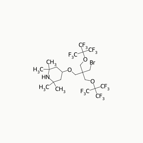 CC1(C)CC(OCC(CBr)(COC(C(F)(F)F)(C(F)(F)F)C(F)(F)F)COC(C(F)(F)F)(C(F)(F)F)C(F)(F)F)CC(C)(C)N1